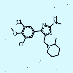 CNc1nc(-c2cc(Cl)c(OC)c(Cl)c2)c(CN2CCCCC2C)s1